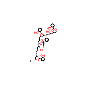 CC1CC(CCCC(O)CC(O)CC(CCCC2CC(CCCC(O)CC3CCOC(c4ccccc4O)O3)OC(c3ccccc3O)O2)OC(=O)Nc2ccccc2)OC(c2ccccc2O)O1